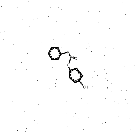 O=[PH](Oc1ccccc1)Oc1ccc(O)cc1